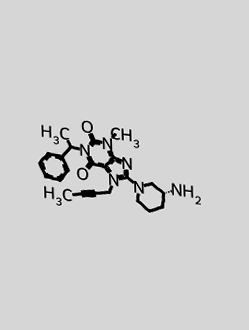 CC#CCn1c(N2CCC[C@@H](N)C2)nc2c1c(=O)n(C(C)c1ccccc1)c(=O)n2C